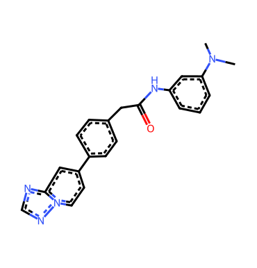 CN(C)c1cccc(NC(=O)Cc2ccc(-c3ccn4ncnc4c3)cc2)c1